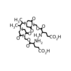 CC(C(C)N1CC(=O)N(COC(=O)C(N)CCC(=O)O)C(=O)C1)N1CC(=O)N(COC(=O)C(N)CCC(=O)O)C(=O)C1